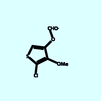 COc1c(O[C]=O)csc1Cl